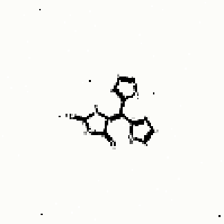 O=C1NC(=O)C(=C(c2ccco2)c2ccco2)S1